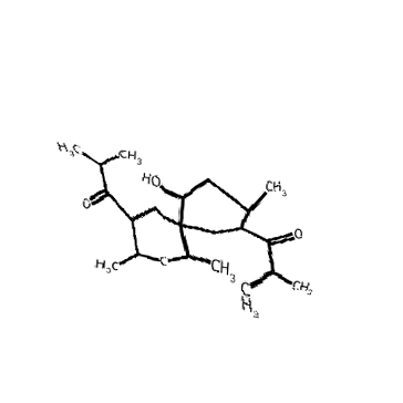 CC(C)C(=O)C1CC2(CC(C(=O)C(C)C)C(C)CC2O)C(C)CC1C